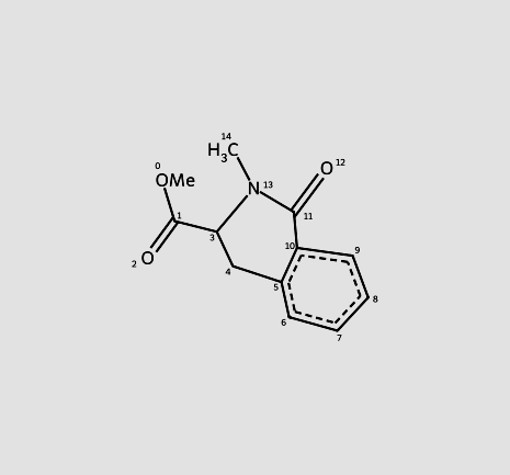 COC(=O)C1Cc2ccccc2C(=O)N1C